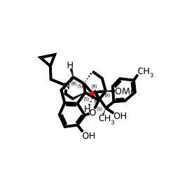 CO[C@]12CC[C@@]3(C[C@@H]1[C@](C)(O)c1ccc(C)cc1)[C@H]1Cc4ccc(O)c5c4[C@@]3(CCN1CC1CC1)[C@H]2O5